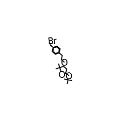 CC(C)(C)OC(=O)CC(OCCc1ccc(CBr)cc1)C(C)(C)C